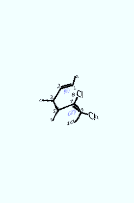 C/C=C/C(C)C(C)/C(Cl)=C(\C)Cl